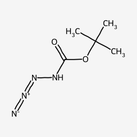 CC(C)(C)OC(=O)NN=[N+]=[N-]